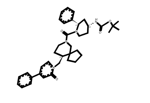 CC(C)(C)OC(=O)N[C@@H]1CCN(C(=O)N2CC[C@H](Cn3ccc(-c4ccccc4)cc3=O)C3(CCCC3)C2)[C@H](c2ccccc2)C1